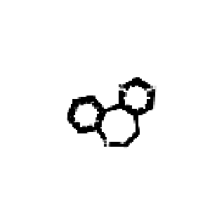 [c]1ncc2c(n1)-c1ccccc1OCC2